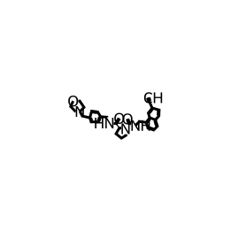 C#Cc1ccc2cccc(CNC(=O)N3CCC[C@H]3C(=O)NCc3ccc(CN4CCOCC4)cc3)c2c1